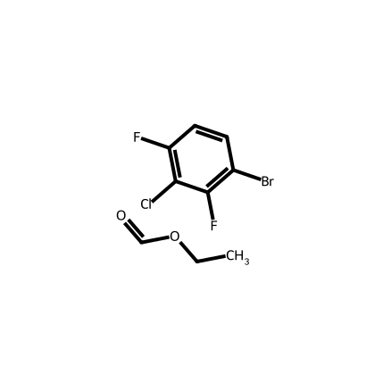 CCOC=O.Fc1ccc(Br)c(F)c1Cl